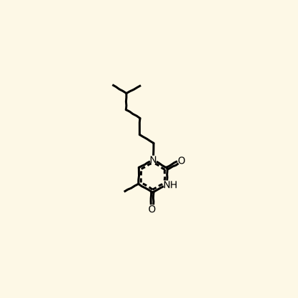 Cc1cn(CCCCC(C)C)c(=O)[nH]c1=O